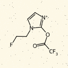 O=C(OC1=[N+]C=CN1CCF)C(F)(F)F